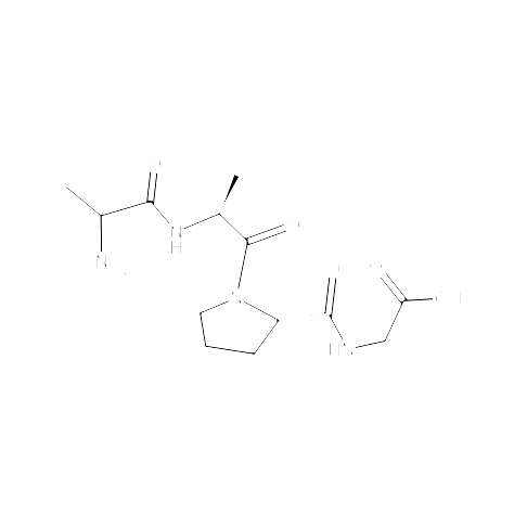 CC(N)C(=O)N[C@@H](C)C(=O)N1CCC[C@H]1C(=O)N[C@@H](C)C(=O)O